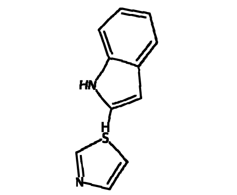 C1=C[SH](c2cc3ccccc3[nH]2)C=N1